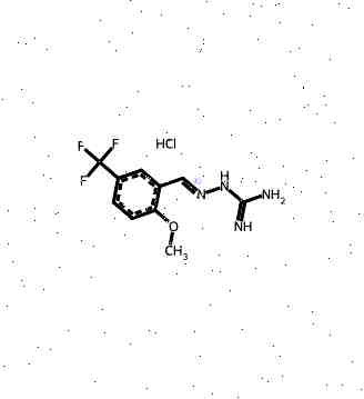 COc1ccc(C(F)(F)F)cc1/C=N/NC(=N)N.Cl